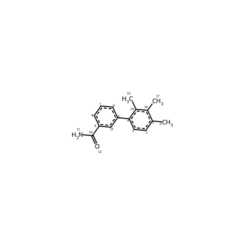 Cc1ccc(-c2cccc(C(N)=O)c2)c(C)c1C